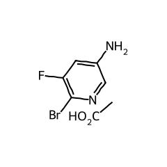 CC(=O)O.Nc1cnc(Br)c(F)c1